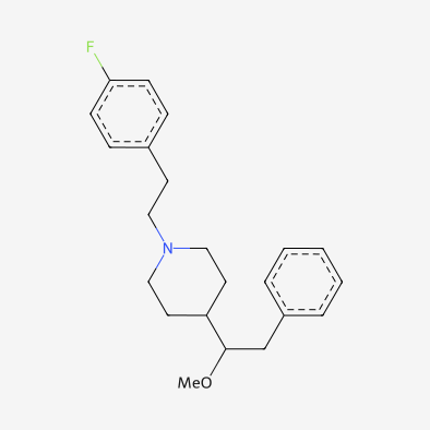 COC(Cc1ccccc1)C1CCN(CCc2ccc(F)cc2)CC1